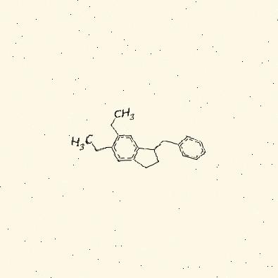 CCc1cc2c(cc1CC)C(Cc1ccccc1)CC2